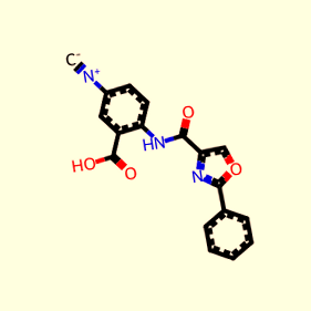 [C-]#[N+]c1ccc(NC(=O)c2coc(-c3ccccc3)n2)c(C(=O)O)c1